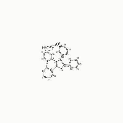 C=C=O.c1ccc(C2=C(c3ccccc3)C(c3ccccc3)=C(c3ccccc3)C2)cc1